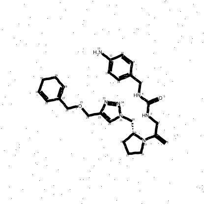 C=C(CNC(=O)NCc1ccc(N)cc1)N1CCC[C@@H]1Cn1cc(COCC2=CCCC=C2)nn1